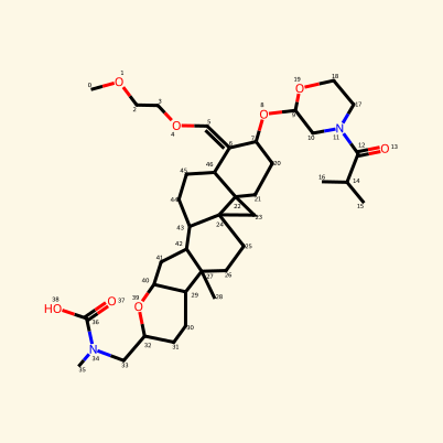 COCCO/C=C1/C(OC2CN(C(=O)C(C)C)CCO2)CCC23CC24CCC2(C)C5CCC(CN(C)C(=O)O)OC5CC2C4CCC13